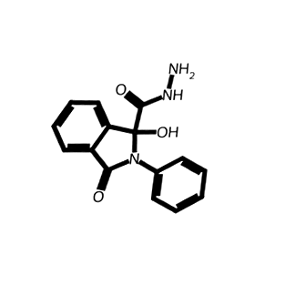 NNC(=O)C1(O)c2ccccc2C(=O)N1c1ccccc1